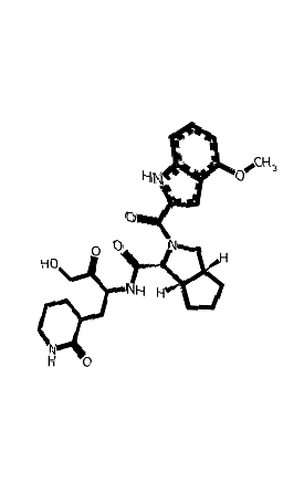 COc1cccc2[nH]c(C(=O)N3C[C@@H]4CCC[C@@H]4[C@H]3C(=O)NC(CC3CCCNC3=O)C(=O)CO)cc12